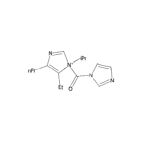 CCCC1=C(CC)[N+](C(=O)n2ccnc2)(C(C)C)C=N1